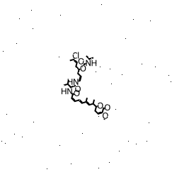 COC1=CCC(C(C)/C=C(C)/C=C/C=C\C(=O)NC(C(=O)N/C=C\CC(C/C=C(\C)Cl)OC(=O)NC(C)C)C(C)C)OC1=O